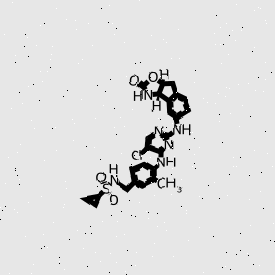 Cc1cc(CNS(=O)(=O)C2CC2)ccc1Nc1nc(Nc2ccc3c(c2)[C@@H]2NC(=O)O[C@@H]2C3)ncc1Cl